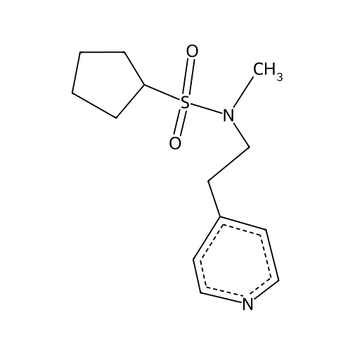 CN(CCc1ccncc1)S(=O)(=O)C1CCCC1